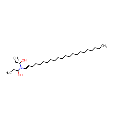 CCCCCCCCCCCCCCCCCCCCC=CN(C(O)CC)C(O)CC